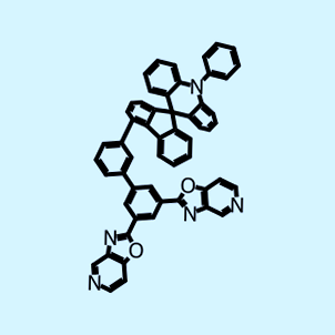 c1ccc(N2c3ccccc3C3(c4ccccc4-c4c(-c5cccc(-c6cc(-c7nc8cnccc8o7)cc(-c7nc8cnccc8o7)c6)c5)cccc43)c3ccccc32)cc1